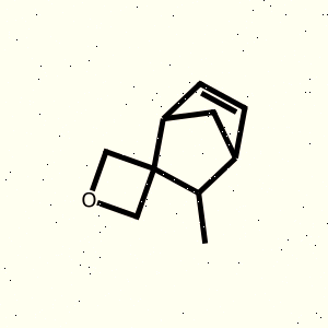 CC1C2C=CC(C2)C12COC2